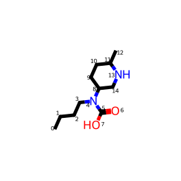 CCCCN(C(=O)O)C1CCC(C)NC1